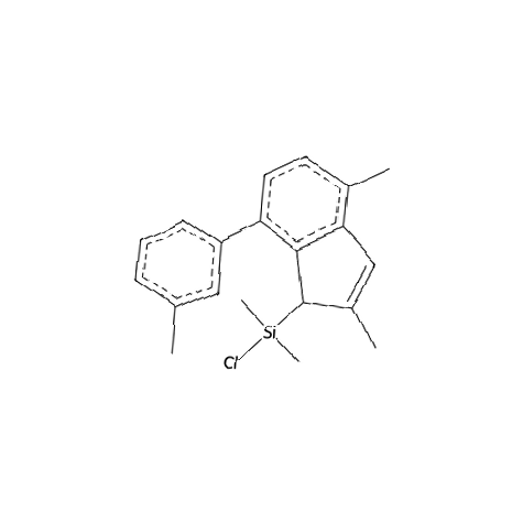 CC1=Cc2c(C)ccc(-c3cccc(C)c3)c2C1[Si](C)(C)Cl